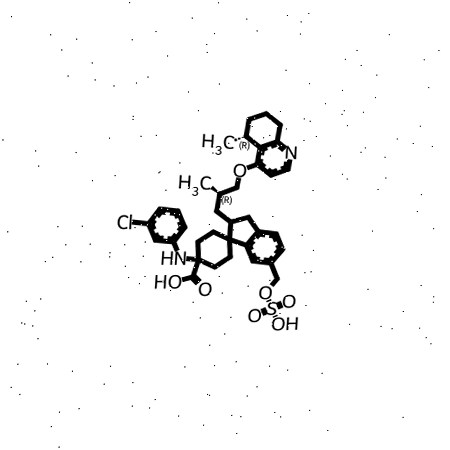 C[C@@H](COc1ccnc2c1[C@H](C)CCC2)CC1Cc2ccc(COS(=O)(=O)O)cc2C12CCC(Nc1cccc(Cl)c1)(C(=O)O)CC2